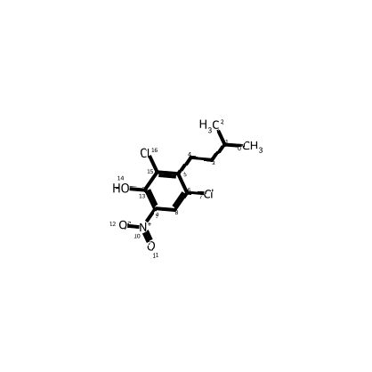 CC(C)CCc1c(Cl)cc([N+](=O)[O-])c(O)c1Cl